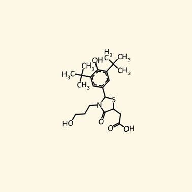 CC(C)(C)c1cc(C2SC(CC(=O)O)C(=O)N2CCCO)cc(C(C)(C)C)c1O